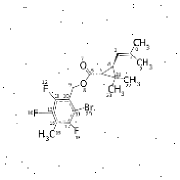 CC(C)=C[C@@H]1[C@@H](C(=O)OCc2c(F)c(F)c(C)c(F)c2Br)C1(C)C